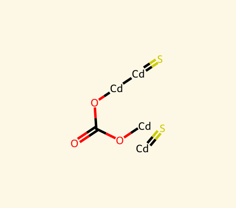 O=C([O][Cd])[O][Cd][Cd]=[S].[S]=[Cd]